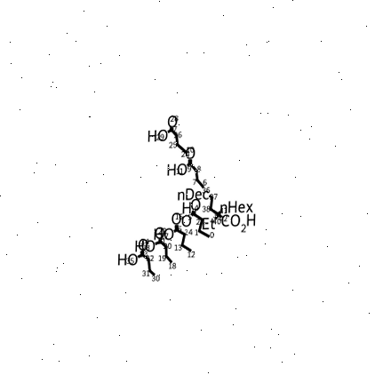 CCCC(=O)O.CCCC(=O)O.CCCC(=O)O.CCCC(=O)O.CCCC(=O)O.CCCC(=O)O.CCCCCCCCCCCCC(CC)(CCCCCC)C(=O)O